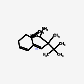 C=C1CCC=C/C1=C/C(C)(C(C)N)C(C)(C)C